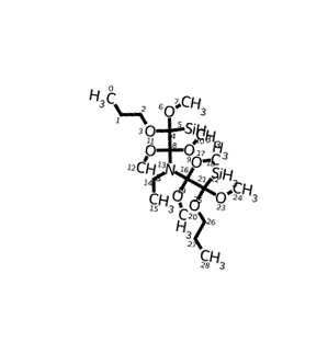 CCCOC([SiH3])(OC)C(OC)(OC)N(CC)C(OC)(OC)C([SiH3])(OC)OCCC